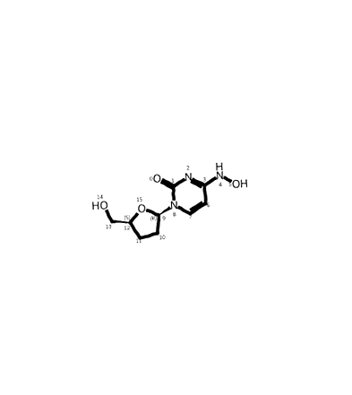 O=c1nc(NO)ccn1[C@H]1CC[C@@H](CO)O1